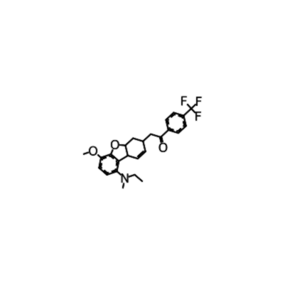 CCN(C)c1ccc(OC)c2c1C1C=CC(CC(=O)c3ccc(C(F)(F)F)cc3)CC1O2